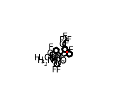 CC(C)Oc1cc([C@@](Cc2ccccc2)(NC(=O)N2CC(F)(F)C[C@@H]2C(N)=O)c2cc(F)cc(OC(F)(F)C(F)F)c2)ccc1F